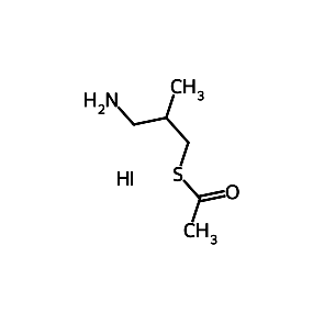 CC(=O)SCC(C)CN.I